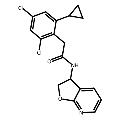 O=C(Cc1c(Cl)cc(Cl)cc1C1CC1)NC1COc2ncccc21